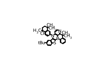 CC(C)(C)c1ccc2sc3c(c2c1)N(c1ccc2c(c1)C(C)(C)CCC2(C)C)c1ccnc2c1B3c1ccccc1C2(C)C